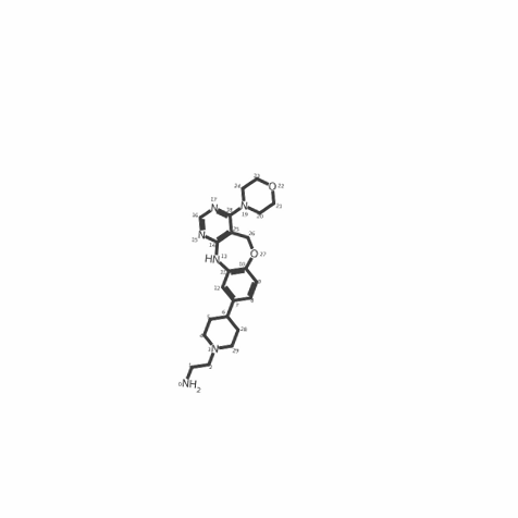 NCCN1CCC(c2ccc3c(c2)Nc2ncnc(N4CCOCC4)c2CO3)CC1